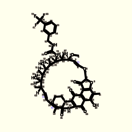 CO[C@H]1/C=C/O[C@@]2(C)Oc3c(C)c(O)c4c(c3C2=O)C(=O)C(N2CCOCC2)=C(NC(=O)/C(C)=C\C=C\[C@H](C)[C@H](O)[C@@H](C)[C@@H](O)[C@@H](C)[C@H](OC(=O)NCc2cccc(C(F)(F)F)c2)[C@@H]1C)C4=O